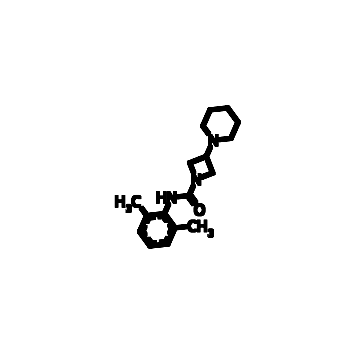 Cc1cccc(C)c1NC(=O)N1CC(N2CCCCC2)C1